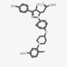 COC(=O)CC1C(C)C(c2ccc(C#N)cc2)=NN1c1ccc(OC2CCN(c3cc(OC)ccc3F)CC2)cc1